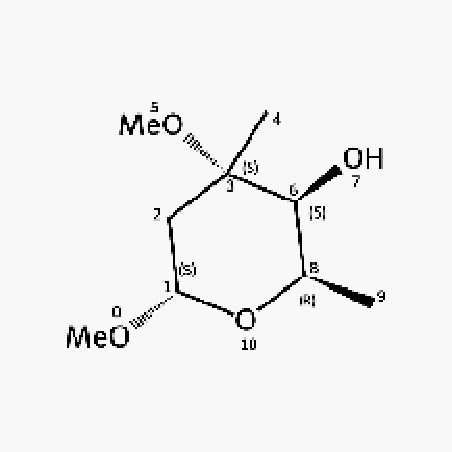 CO[C@@H]1C[C@](C)(OC)[C@@H](O)[C@@H](C)O1